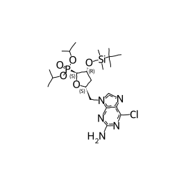 CC(C)OP(=O)(OC(C)C)[C@@H]1O[C@H](Cn2cnc3c(Cl)nc(N)nc32)C[C@H]1O[Si](C)(C)C(C)(C)C